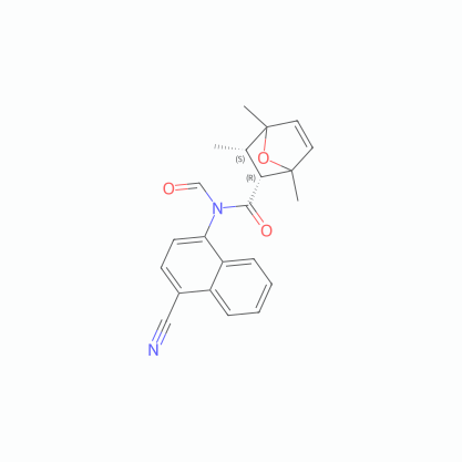 C[C@H]1[C@@H](C(=O)N(C=O)c2ccc(C#N)c3ccccc23)C2(C)C=CC1(C)O2